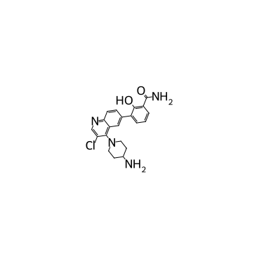 NC(=O)c1cccc(-c2ccc3ncc(Cl)c(N4CCC(N)CC4)c3c2)c1O